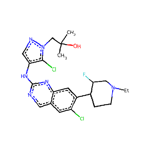 CCN1CCC(c2cc3nc(Nc4cnn(CC(C)(C)O)c4Cl)ncc3cc2Cl)C(F)C1